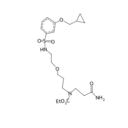 CCOC(=O)N(CCCOCCNS(=O)(=O)c1cccc(OCC2CC2)c1)CCC(N)=O